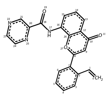 C=Cc1ccccc1-c1cc(=O)c2cccc(NC(=O)c3cnccn3)c2o1